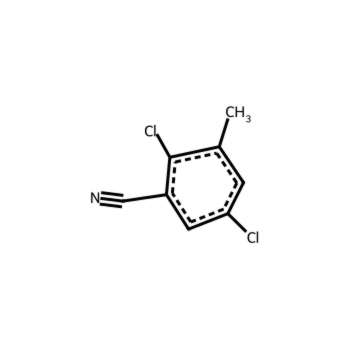 Cc1cc(Cl)cc(C#N)c1Cl